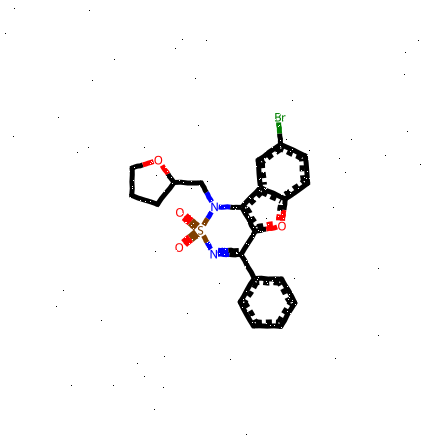 O=S1(=O)N=C(c2ccccc2)c2oc3ccc(Br)cc3c2N1CC1CCCO1